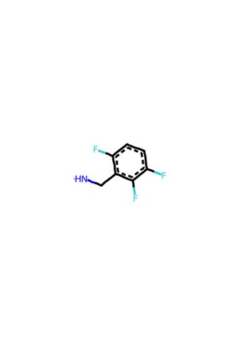 [NH]Cc1c(F)ccc(F)c1F